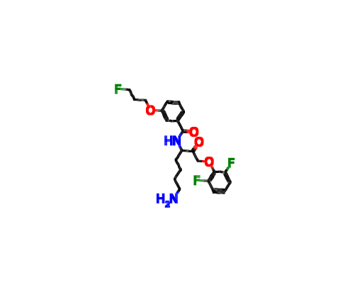 NCCCCC(NC(=O)c1cccc(OCCCF)c1)C(=O)COc1c(F)c#ccc1F